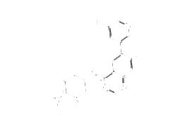 CN(C)[C@H]1CC[C@H](Nc2ncnc3ccc(-c4cncc(F)c4)cc23)CC1